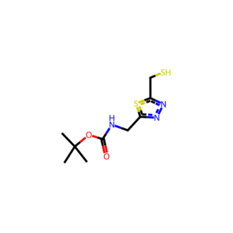 CC(C)(C)OC(=O)NCc1nnc(CS)s1